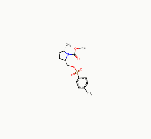 Cc1ccc(S(=O)(=O)OC[C@@H]2CC[C@H](C)N2C(=O)OC(C)(C)C)cc1